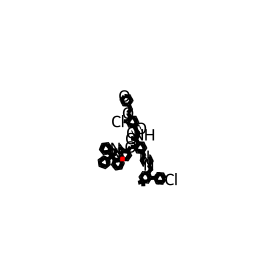 CC1(C)CCC(CN2CCN(c3ccc(C(=O)NS(=O)(=O)c4ccc(OCC5CCOCC5)c(Cl)c4)c(Oc4cccc5c4cnn5C(c4ccccc4)(c4ccccc4)c4ccccc4)c3)CC2)=C(c2ccc(Cl)cc2)C1